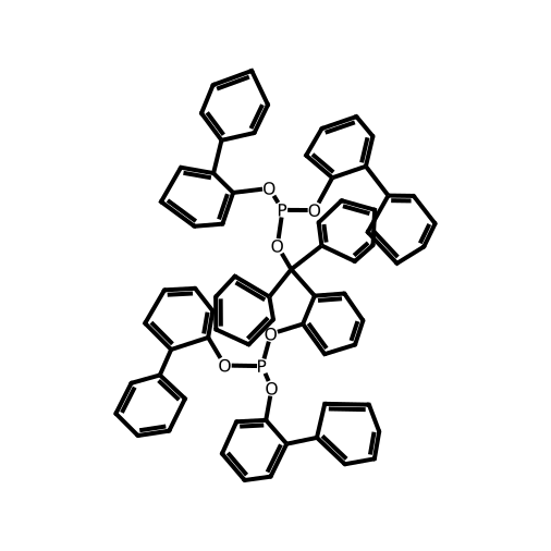 c1ccc(-c2ccccc2OP(Oc2ccccc2-c2ccccc2)Oc2ccccc2C(OP(Oc2ccccc2-c2ccccc2)Oc2ccccc2-c2ccccc2)(c2ccccc2)c2ccccc2)cc1